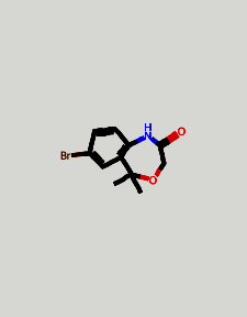 CC1(C)OCC(=O)Nc2ccc(Br)cc21